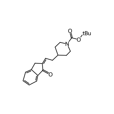 CC(C)(C)OC(=O)N1CCC(C/C=C2/Cc3ccccc3C2=O)CC1